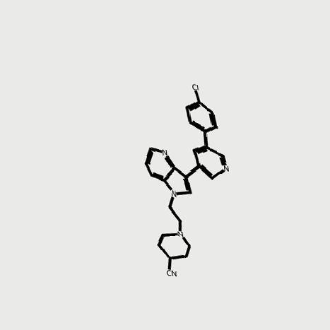 N#CC1CCN(CCn2cc(-c3cncc(-c4ccc(Cl)cc4)c3)c3ncccc32)CC1